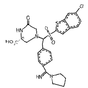 N=C(c1ccc(C(N2CC(=O)N[C@@H](C(=O)O)C2)S(=O)(=O)c2cc3ccc(Cl)cc3s2)cc1)N1CCCC1